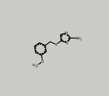 COc1cccc(CSc2cnc(N)s2)c1